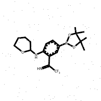 CC1(C)OB(c2ccc(NC3CCCCO3)c(C(=N)C(F)(F)F)c2)OC1(C)C